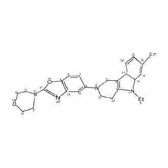 CCN1C2=C(CN(c3ccc4oc(N5CCOCC5)nc4c3)CC2)C2C=CC(F)=CC21